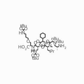 CCCC[C@@H](C(=O)N(C)[C@@H](CC(C)C)C(=O)NC(C(=O)N[C@@H](CNC(=O)OC(C)(C)C)C(=O)N[C@@H](COCCCNC(=O)OC(C)(C)C)C(=O)O)C1CCCCC1)N(CCCC)C[C@@H](C)N